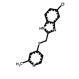 Cc1cc(SCc2nc3cc(Cl)ccc3[nH]2)ccn1